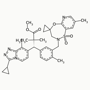 COC(=O)C(C)(C)[C@H](c1ccc(C)c(CN2CC3(CC3)Oc3ncc(C)cc3S2(=O)=O)c1)c1ccn2c(C3CC3)nnc2c1C